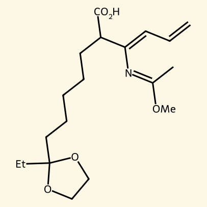 C=C/C=C(\N=C(/C)OC)C(CCCCCC1(CC)OCCO1)C(=O)O